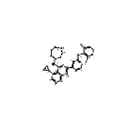 FC1=CCCC(F)=C1Nc1cc(-c2nc(NC3CCCNCC3)c3c(C4CC4)cncc3n2)ccn1